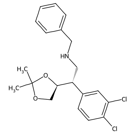 CC1(C)OC[C@H]([C@H](CNCc2ccccc2)c2ccc(Cl)c(Cl)c2)O1